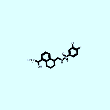 O=C(O)C(O)c1cccc2c1CCCC2CNS(=O)(=O)c1ccc(Cl)c(Cl)c1